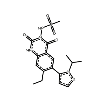 CCc1cc2[nH]c(=O)n(NS(C)(=O)=O)c(=O)c2cc1-c1ccnn1C(C)C